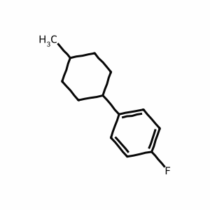 CC1CCC(c2ccc(F)cc2)CC1